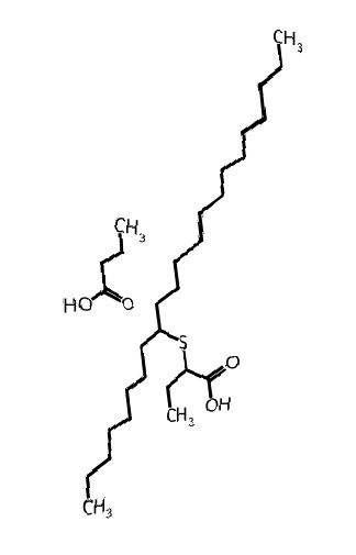 CCCC(=O)O.CCCCCCCCCCCCCC(CCCCCCCC)SC(CC)C(=O)O